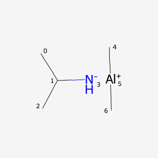 CC(C)[NH-].[CH3][Al+][CH3]